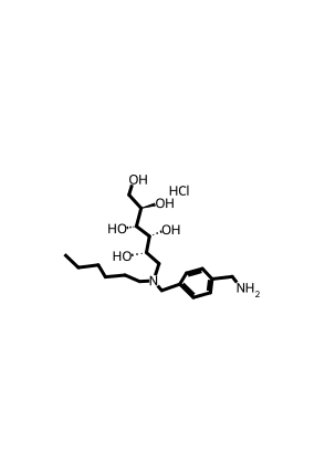 CCCCCCN(Cc1ccc(CN)cc1)C[C@H](O)[C@@H](O)[C@H](O)[C@H](O)CO.Cl